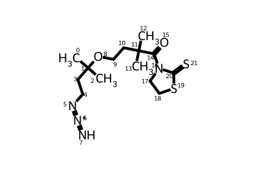 CC(C)(CCN=[N+]=N)OCCC(C)(C)C(=O)N1CCSC1=S